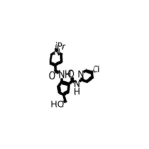 CC(C)N1CCC(C(=O)Nc2ccc(CO)cc2C(=O)Nc2ccc(Cl)cn2)CC1